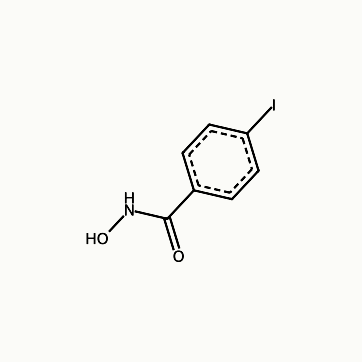 O=C(NO)c1ccc(I)cc1